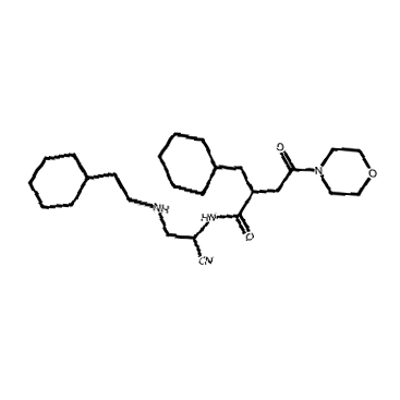 N#CC(CNCCC1CCCCC1)NC(=O)C(CC(=O)N1CCOCC1)CC1CCCCC1